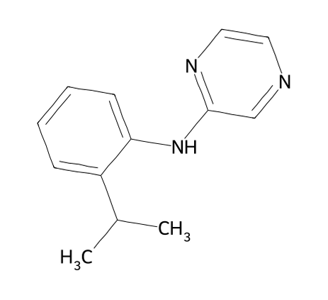 CC(C)c1ccccc1Nc1cnccn1